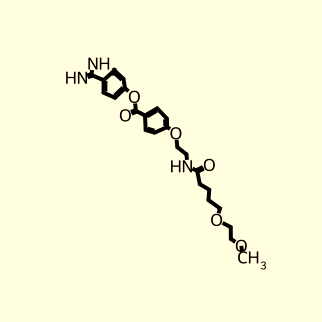 COCCOCCCCC(=O)NCCOc1ccc(C(=O)Oc2ccc(C(=N)N)cc2)cc1